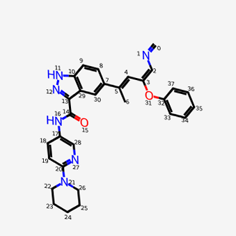 C=N/C=C(\C=C(/C)c1ccc2[nH]nc(C(=O)Nc3ccc(N4CCCCC4)nc3)c2c1)Oc1ccccc1